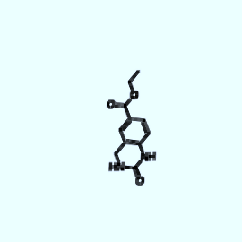 CCOC(=O)c1ccc2c(c1)CNC(=O)N2